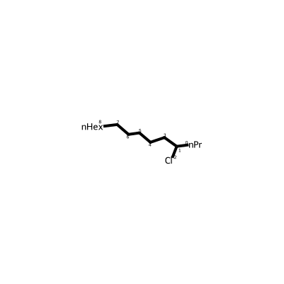 C[CH]CC(Cl)CCCCCCCCCCC